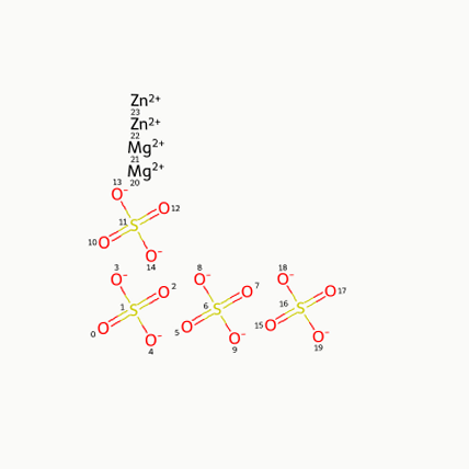 O=S(=O)([O-])[O-].O=S(=O)([O-])[O-].O=S(=O)([O-])[O-].O=S(=O)([O-])[O-].[Mg+2].[Mg+2].[Zn+2].[Zn+2]